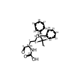 CC(C)(C)[Si](OCC[C@H](C=O)NC(=O)O)(c1ccccc1)c1ccccc1